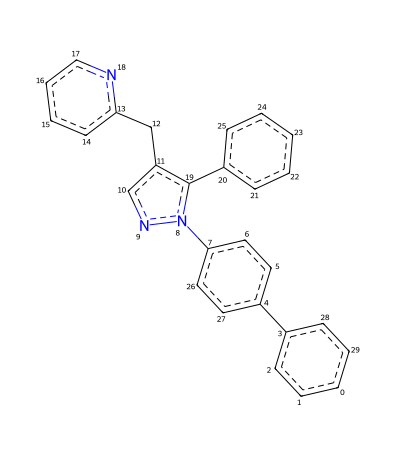 c1ccc(-c2ccc(-n3ncc(Cc4ccccn4)c3-c3ccccc3)cc2)cc1